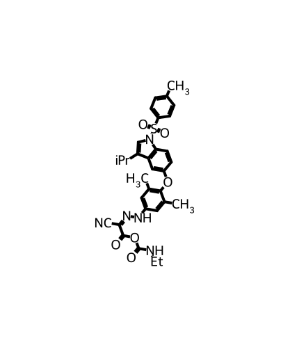 CCNC(=O)OC(=O)C(C#N)=NNc1cc(C)c(Oc2ccc3c(c2)c(C(C)C)cn3S(=O)(=O)c2ccc(C)cc2)c(C)c1